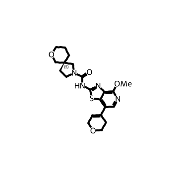 COc1ncc(C2=CCOCC2)c2sc(NC(=O)N3CC[C@@]4(CCCOC4)C3)nc12